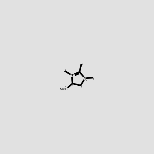 COC1CN(C)C(C)=[N+]1C